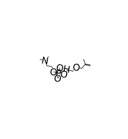 C=C(C)COCCOP(=O)(O)OCCN(C)C